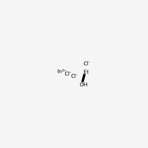 CCO.[Cl-].[Cl-].[Cl-].[In+3]